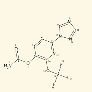 NC(=O)Oc1ccc(-n2cncn2)nc1OC(F)(F)F